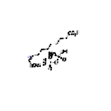 CCCCCCCC/C=C\CCCCCCCC(=O)O.O=P(O)(O)OP(=O)(O)O